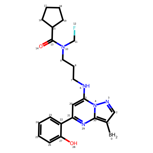 Bc1cnn2c(NCCCN(CF)C(=O)C3CCCC3)cc(-c3ccccc3O)nc12